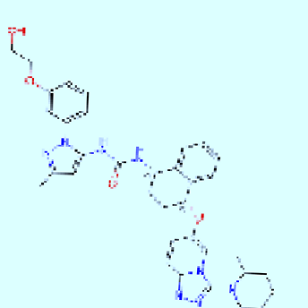 Cc1cc(NC(=O)N[C@H]2CC[C@@H](Oc3ccc4nnc(N5CCCCC5C)n4c3)c3ccccc32)n(-c2cccc(OCCO)c2)n1